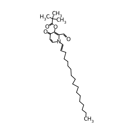 CCCCCCCCCCCCCCCCC=Cn1ccc(=O)c(OC(=O)C(C)(C)C)c1C=O